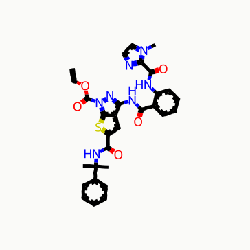 C=COC(=O)n1nc(NC(=O)c2ccccc2NC(=O)c2nccn2C)c2cc(C(=O)NC(C)(C)c3ccccc3)sc21